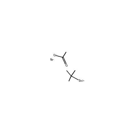 CC(=O)[O-].C[C](C)(C)[Zn+2].[Br-]